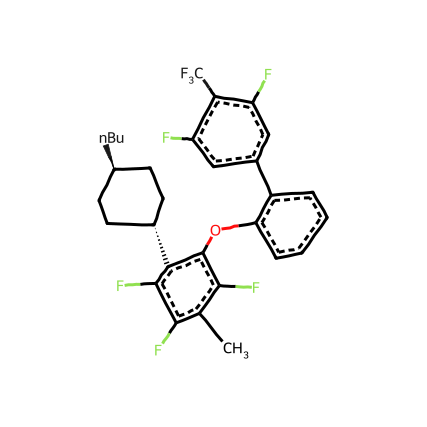 CCCC[C@H]1CC[C@H](c2c(F)c(F)c(C)c(F)c2Oc2ccccc2-c2cc(F)c(C(F)(F)F)c(F)c2)CC1